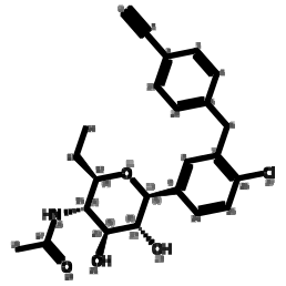 C#Cc1ccc(Cc2cc([C@@H]3O[C@H](CC)[C@@H](NC(C)=O)[C@H](O)[C@H]3O)ccc2Cl)cc1